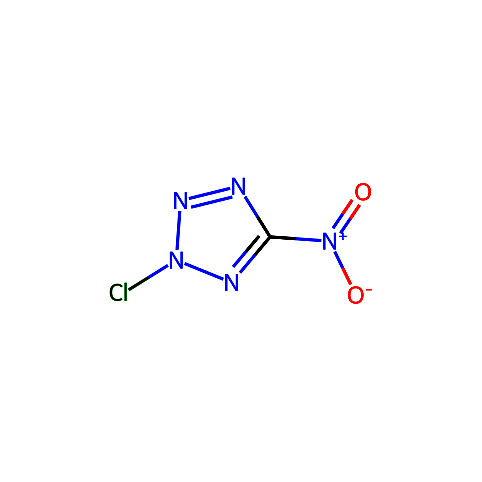 O=[N+]([O-])c1nnn(Cl)n1